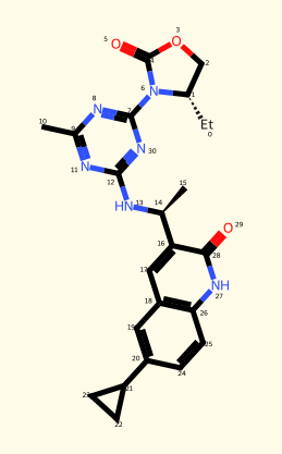 CC[C@H]1COC(=O)N1c1nc(C)nc(N[C@@H](C)c2cc3cc(C4CC4)ccc3[nH]c2=O)n1